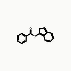 O=C(OC1=c2ccccc2=CC1)c1ccccc1